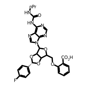 CCCNC(=O)Nc1ncnc2c1ncn2C1OC(COc2ccccc2C(=O)O)C2O[C@H](c3ccc(F)cc3)OC21